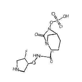 O=C(NOC1CNCC1F)[C@@H]1CCC2CN1C(=O)N2OS(=O)(=O)O